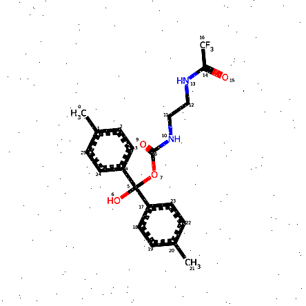 Cc1ccc(C(O)(OC(=O)NCCNC(=O)C(F)(F)F)c2ccc(C)cc2)cc1